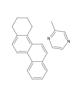 Cc1cnccn1.c1ccc2c(c1)ccc1c3c(ccc12)CCCC3